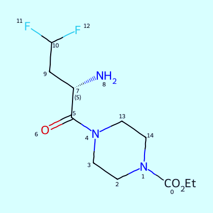 CCOC(=O)N1CCN(C(=O)[C@@H](N)CC(F)F)CC1